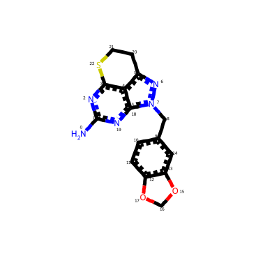 Nc1nc2c3c(nn(Cc4ccc5c(c4)OCO5)c3n1)CCS2